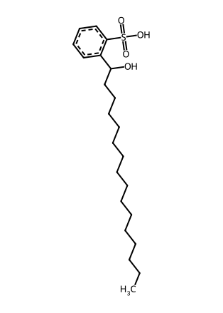 CCCCCCCCCCCCCCCC(O)c1ccccc1S(=O)(=O)O